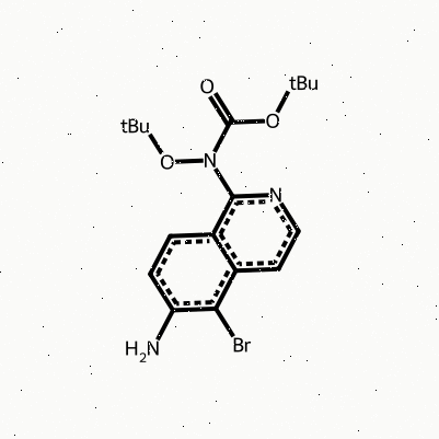 CC(C)(C)OC(=O)N(OC(C)(C)C)c1nccc2c(Br)c(N)ccc12